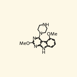 COc1nc(N2CCNCC2)c2c(n1)[nH]c1cccc(OC)c12